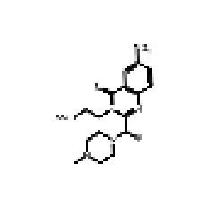 COCCn1c(C(F)N2CCN(C)CC2)nc2ccc([N+](=O)[O-])cc2c1=O